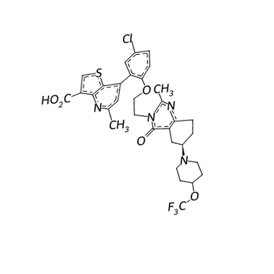 Cc1cc(-c2cc(Cl)ccc2OCCn2c(C)nc3c(c2=O)C[C@H](N2CCC(OC(F)(F)F)CC2)CC3)c2scc(C(=O)O)c2n1